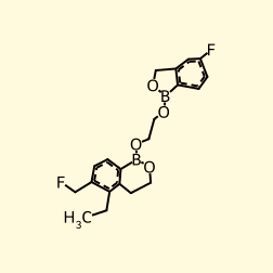 CCc1c(CF)ccc2c1CCOB2OCCOB1OCc2cc(F)ccc21